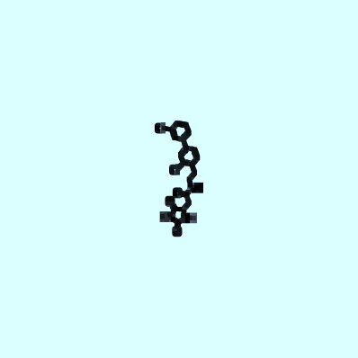 O=C(CC1NC(=O)NC1=O)NCCc1ccc(-c2cccc(Cl)c2)cc1Cl